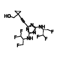 OCC1(C#Cc2nc(NC(CF)C(F)F)nc(NC(CF)C(F)F)n2)CC1